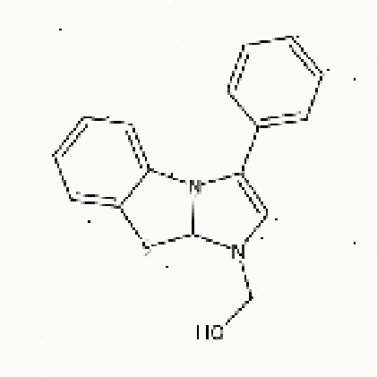 OCN1C=C(c2ccccc2)N2c3ccccc3SC12